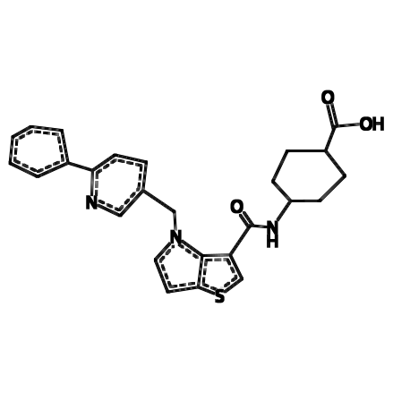 O=C(NC1CCC(C(=O)O)CC1)c1csc2ccn(Cc3ccc(-c4ccccc4)nc3)c12